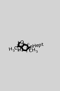 CCCCCCCC1(C)CC[C@H]2C(C)COC2C1